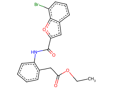 CCOC(=O)Cc1ccccc1NC(=O)c1cc2cccc(Br)c2o1